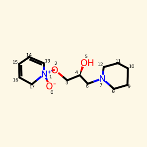 [O-][N+]1(OC[C@@H](O)CN2CCCCC2)C=CC=CC1